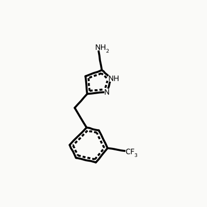 Nc1cc(Cc2cccc(C(F)(F)F)c2)n[nH]1